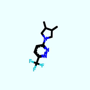 CC1CN(c2ccc(C(F)(F)F)nn2)CC1C